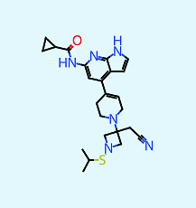 CC(C)SN1CC(CC#N)(N2CC=C(c3cc(NC(=O)C4CC4)nc4[nH]ccc34)CC2)C1